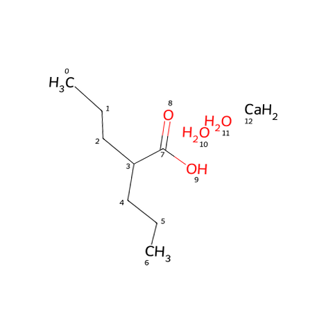 CCCC(CCC)C(=O)O.O.O.[CaH2]